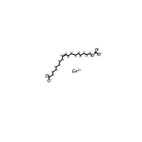 O=C([O-])CCCCCCC/C=C\CCCCCCCCOC(=O)[O-].[Ca+2]